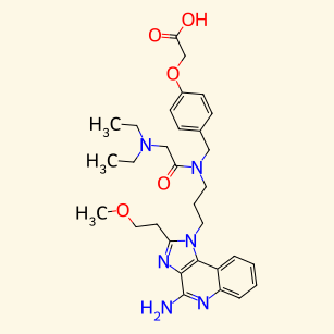 CCN(CC)CC(=O)N(CCCn1c(CCOC)nc2c(N)nc3ccccc3c21)Cc1ccc(OCC(=O)O)cc1